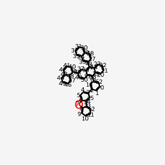 c1cc(-c2ccc3oc4ccccc4c3c2)cc(-c2c3ccccc3c(-c3ccc4ccccc4c3)c3cc(-c4cccc5ccccc45)ccc23)c1